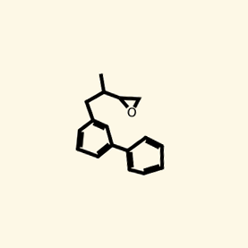 CC(Cc1cccc(-c2ccccc2)c1)C1CO1